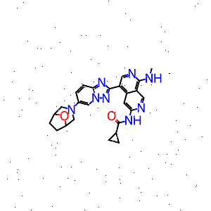 CNc1ncc(-c2nc3ccc(N4CC5CCC(C4)O5)cn3n2)c2cc(NC(=O)C3CC3)ncc12